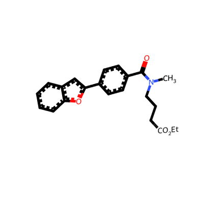 CCOC(=O)CCCN(C)C(=O)c1ccc(-c2cc3ccccc3o2)cc1